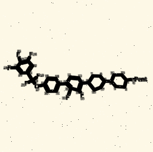 CCCCCC1CCC(C2CCC(c3ccc(-c4ccc(OC(F)(F)c5cc(F)c(F)c(F)c5)cc4)c(F)c3F)CC2)CC1